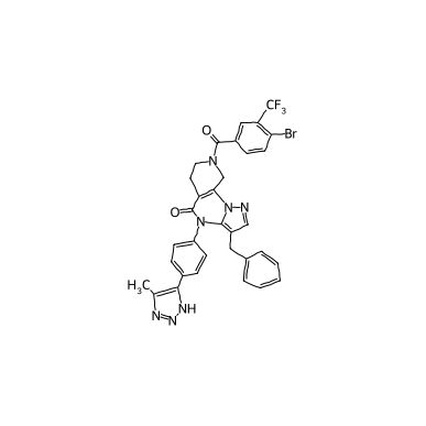 Cc1nn[nH]c1-c1ccc(-n2c(=O)c3c(n4ncc(Cc5ccccc5)c24)CN(C(=O)c2ccc(Br)c(C(F)(F)F)c2)CC3)cc1